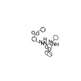 O=C(OCc1ccccc1)c1cccc(CN=NNC(=O)c2nc(C3CCCCC3)[nH]c2COC23CC4CC(CC(C4)C2)C3)c1